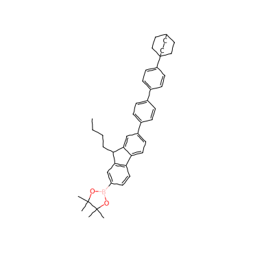 CCCCC1c2cc(B3OC(C)(C)C(C)(C)O3)ccc2-c2ccc(-c3ccc(-c4ccc(C56CCC(CC5)CC6)cc4)cc3)cc21